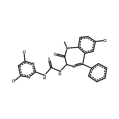 CN1C(=O)C(NC(=S)Nc2nc(Cl)cc(Cl)n2)N=C(c2ccccc2)c2cc(Cl)ccc21